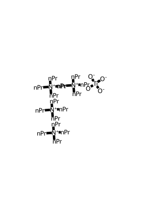 CCC[N+](CCC)(CCC)CCC.CCC[N+](CCC)(CCC)CCC.CCC[N+](CCC)(CCC)CCC.CCC[N+](CCC)(CCC)CCC.[O-][Ti]([O-])([O-])[O-]